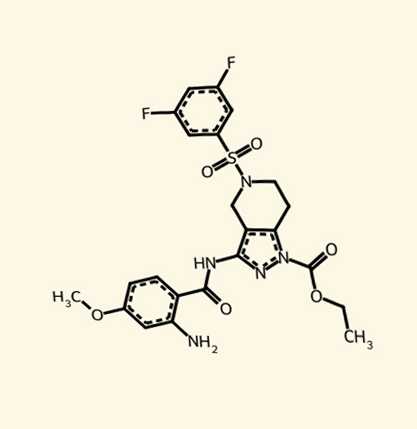 CCOC(=O)n1nc(NC(=O)c2ccc(OC)cc2N)c2c1CCN(S(=O)(=O)c1cc(F)cc(F)c1)C2